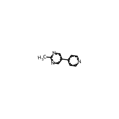 Cc1ncc(-c2ccncc2)cn1